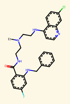 CCN(CCNC(=O)c1ccc(F)cc1NCc1ccccc1)CCNc1ccnc2cc(Cl)ccc12